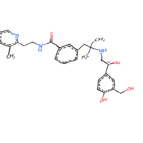 Cc1cccnc1CCNC(=O)c1cccc(CC(C)(C)NC[C@@H](O)c2ccc(O)c(CO)c2)c1